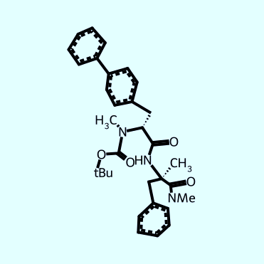 CNC(=O)[C@@](C)(Cc1ccccc1)NC(=O)[C@@H](Cc1ccc(-c2ccccc2)cc1)N(C)C(=O)OC(C)(C)C